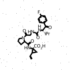 C=CC1C[C@]1(NC(=O)C1CCCN1C(=O)CNC(=O)N[C@H](C(=O)c1ccc(F)cc1)C(C)C)C(=O)O